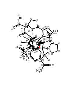 CC1(C)C(C(N)=O)c2ccc(cc2)[C@@]1(C(=O)NC(=O)O)N1CCCC1[C@H]1CC[C@H](C2CCCN2[C@]2(C(=O)NC(=O)O)c3ccc(cc3)C(C(N)=O)C2(C)C)N1c1ccc(S(C)(=O)=O)cc1